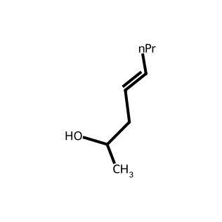 CCCC=CCC(C)O